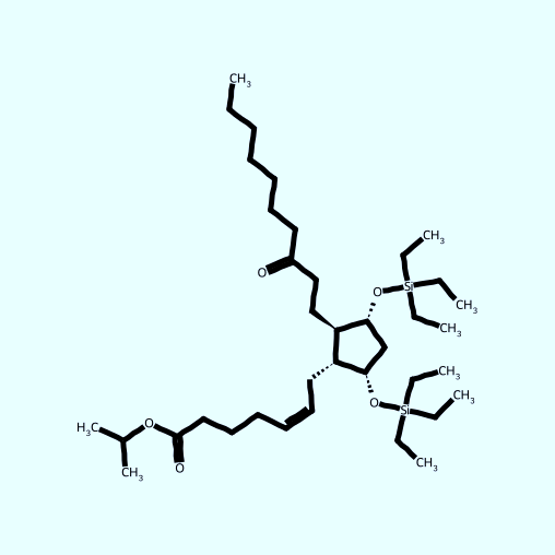 CCCCCCCC(=O)CC[C@@H]1[C@@H](C/C=C\CCCC(=O)OC(C)C)[C@@H](O[Si](CC)(CC)CC)C[C@H]1O[Si](CC)(CC)CC